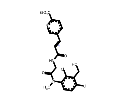 CCOC(=O)c1ccc(/C=C/C(=O)NCC(=O)N(C)c2ccc(Cl)c(CO)c2Cl)cn1